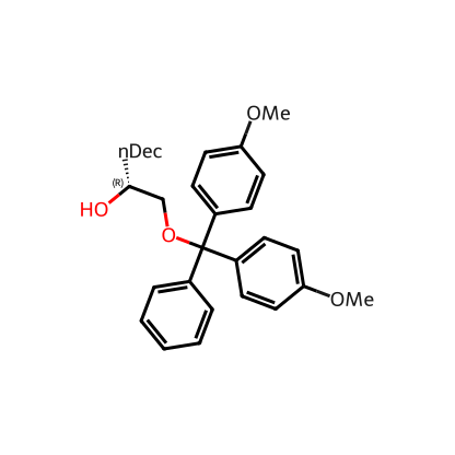 CCCCCCCCCC[C@@H](O)COC(c1ccccc1)(c1ccc(OC)cc1)c1ccc(OC)cc1